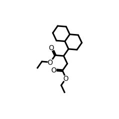 CCOC(=O)CC(C(=O)OCC)C1CCCC2CCCCC21